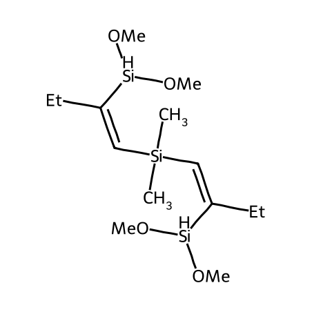 CCC(=C[Si](C)(C)C=C(CC)[SiH](OC)OC)[SiH](OC)OC